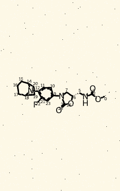 COC(=O)NC[C@H]1CN(c2ccc(N3C4CCCC3CC4)c(F)c2)C(=O)O1